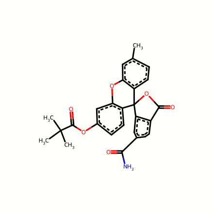 Cc1ccc2c(c1)Oc1cc(OC(=O)C(C)(C)C)ccc1C21OC(=O)c2ccc(C(N)=O)cc21